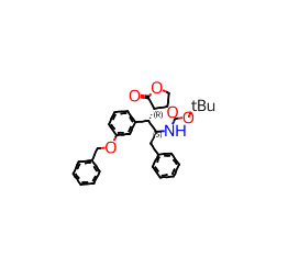 CC(C)(C)OC(=O)N[C@@H](Cc1ccccc1)C(c1cccc(OCc2ccccc2)c1)[C@H]1CCOC1=O